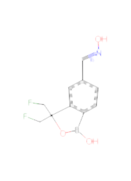 O/N=C/c1ccc2c(c1)C(CF)(CF)OB2O